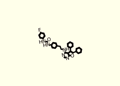 O=C(Nc1ccc(F)cc1)Nc1ccc(CCNc2ncnc3oc(-c4ccccc4)c(-c4ccccc4)c23)cc1